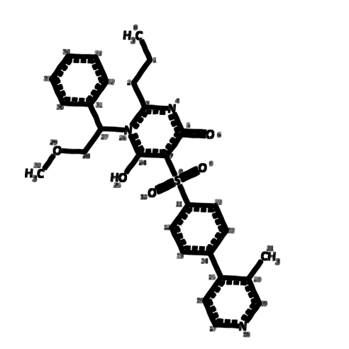 CCCc1nc(=O)c(S(=O)(=O)c2ccc(-c3ccncc3C)cc2)c(O)n1C(COC)c1ccccc1